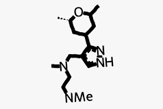 CNCCN(C)Cc1c[nH]nc1C1CC(C)O[C@@H](C)C1